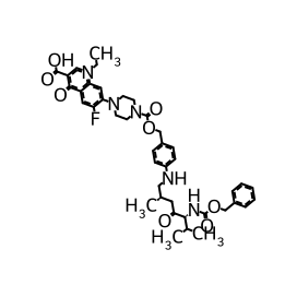 CCn1cc(C(=O)O)c(=O)c2cc(F)c(N3CCN(C(=O)OCc4ccc(NC[C@H](C)CC(=O)[C@H](NC(=O)OCc5ccccc5)C(C)C)cc4)CC3)cc21